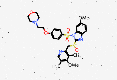 COc1ccc2nc([S+]([O-])Cc3ncc(C)c(OC)c3C)n(S(=O)(=O)c3ccc(OCCN4CCOCC4)cc3)c2c1